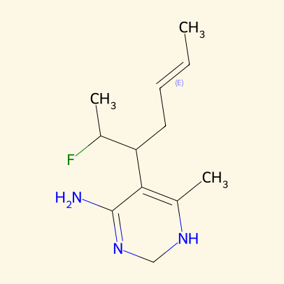 C/C=C/CC(C1=C(C)NCN=C1N)C(C)F